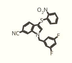 N#Cc1ccc2c(Sc3ccccc3[N+](=O)[O-])cn(Cc3cc(F)cc(F)c3)c2c1